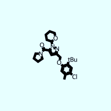 Cc1cc(OCc2cc(C(=O)N3CCCC3)n(C3CCCCO3)n2)c(C(C)(C)C)cc1Cl